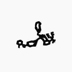 Cc1ccccc1Oc1ccc(-c2c3cccc(C(F)(F)F)c3nn2Cc2ccccc2)cc1